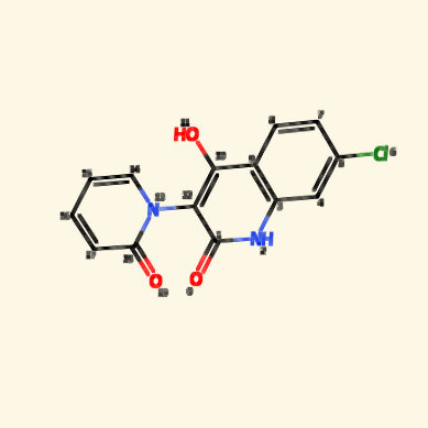 O=c1[nH]c2cc(Cl)ccc2c(O)c1-n1ccccc1=O